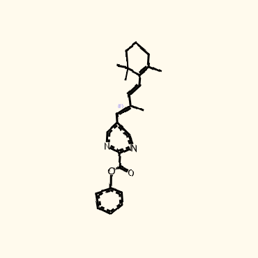 CC1=C(C=C/C(C)=C/c2cnc(C(=O)Oc3ccccc3)nc2)C(C)(C)CCC1